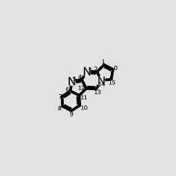 C1=Cc2nc3nc4ccccc4c-3cn2C1